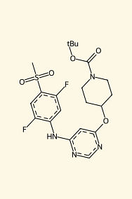 CC(C)(C)OC(=O)N1CCC(Oc2cc(Nc3cc(F)c(S(C)(=O)=O)cc3F)ncn2)CC1